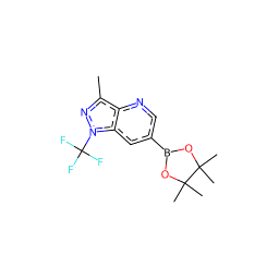 Cc1nn(C(F)(F)F)c2cc(B3OC(C)(C)C(C)(C)O3)cnc12